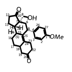 COc1ccc([C@H]2C[C@]3(CO)C(=O)CC[C@H]3[C@@H]3CCC4CC(=O)CCC4=C32)cc1